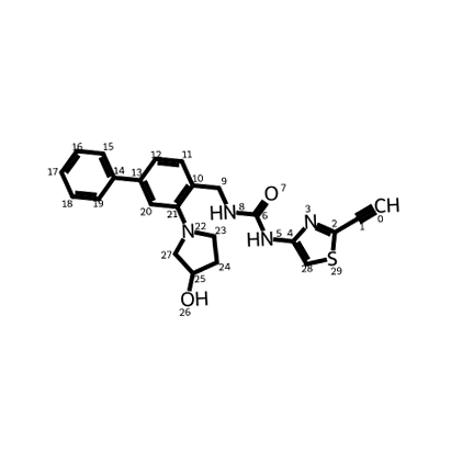 C#Cc1nc(NC(=O)NCc2ccc(-c3ccccc3)cc2N2CCC(O)C2)cs1